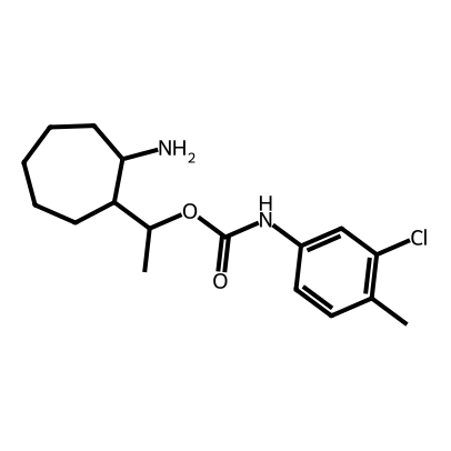 Cc1ccc(NC(=O)OC(C)C2CCCCCC2N)cc1Cl